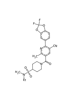 CCN(C)S(=O)(=O)C1CCN(C(=O)c2cc(C#N)c(-c3ccc4c(c3)OC(F)(F)O4)nc2C)CC1